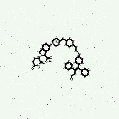 O=CC(=O)C1c2cc(N3CC4CCC3CN4CC3CCN(CCOc4ccc(C(=C(CCCl)c5ccccc5)c5ccccc5)cc4)CC3)ccc2CN1C1CCC(=O)NC1=O